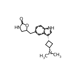 CN(C)[C@H]1C[C@H](c2c[nH]c3ccc(CC4CNC(=O)O4)cc32)C1